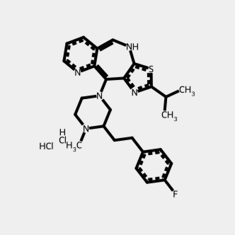 CC(C)c1nc2c(s1)NC=c1cccnc1=C2N1CCN(C)C(CCc2ccc(F)cc2)C1.Cl.Cl